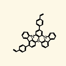 C=Cc1ccc(-c2cc3c4c(c2)-n2c5ccccc5c5c(-c6ccc(C=C)cc6)ccc(c52)B4c2cccc4c5ccccc5n-3c24)cc1